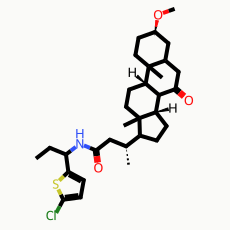 CCC(NC(=O)C[C@@H](C)C1CC[C@H]2C3C(=O)CC4C[C@H](OC)CCC4(C)[C@H]3CCC12C)c1ccc(Cl)s1